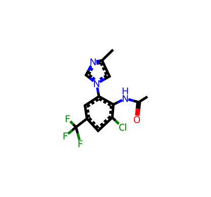 CC(=O)Nc1c(Cl)cc(C(F)(F)F)cc1-n1cnc(C)c1